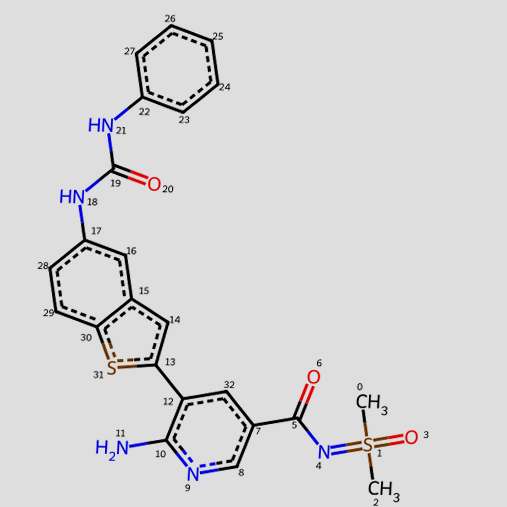 CS(C)(=O)=NC(=O)c1cnc(N)c(-c2cc3cc(NC(=O)Nc4ccccc4)ccc3s2)c1